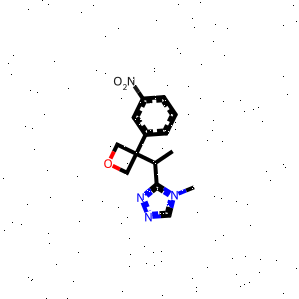 CC(c1nncn1C)C1(c2cccc([N+](=O)[O-])c2)COC1